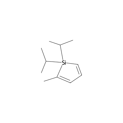 CC1=CC=C[Si]1(C(C)C)C(C)C